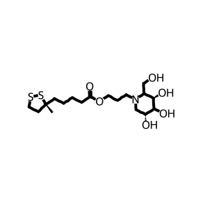 C[C@@]1(CCCCC(=O)OCCCN2C[C@@H](O)C(O)[C@H](O)C2CO)CCSS1